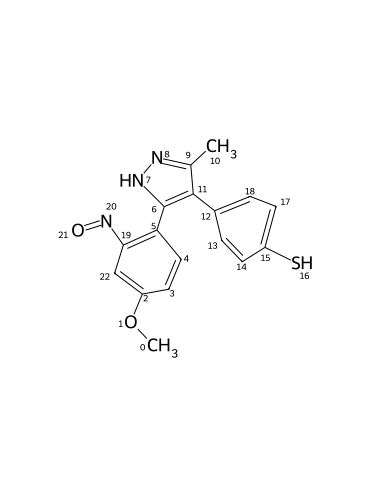 COc1ccc(-c2[nH]nc(C)c2-c2ccc(S)cc2)c(N=O)c1